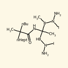 CCCCCCCC(C)(CCCC)C(=O)NC(C)(BN(N)I)B(C)N(N)I